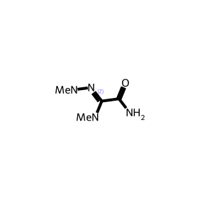 CN/N=C(\NC)C(N)=O